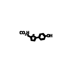 O=C(O)Cc1ccc(-c2ccc(O)cc2)s1